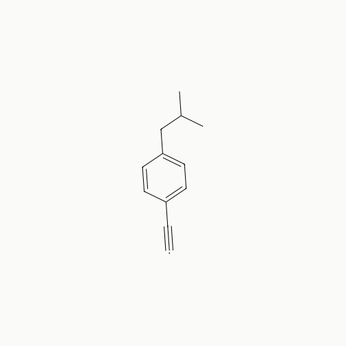 [C]#Cc1ccc(CC(C)C)cc1